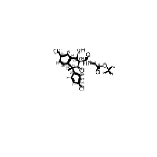 CC(C)(C)OC(=O)CNC(=O)C1=C(O)c2cc(Cl)ccc2C(C)(c2ccc(Cl)cc2)C1=O